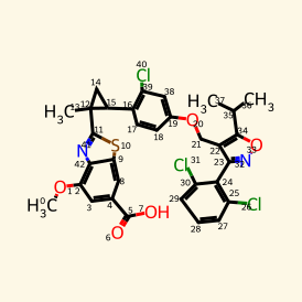 COc1cc(C(=O)O)cc2sc(C3(C)CC3c3ccc(OCc4c(-c5c(Cl)cccc5Cl)noc4C(C)C)cc3Cl)nc12